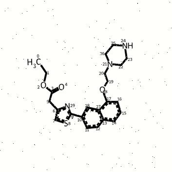 CCOC(=O)Cc1csc(-c2ccc3cccc(OCCN4CCNCC4)c3c2)n1